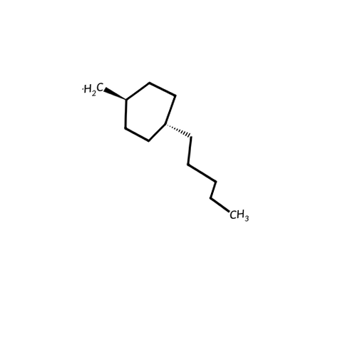 [CH2][C@H]1CC[C@H](CCCCC)CC1